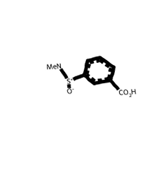 CN[S+]([O-])c1cccc(C(=O)O)c1